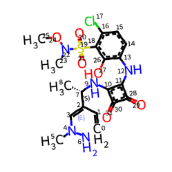 C=C/C(=C\N(C)N)[C@H](C)Nc1c(Nc2ccc(Cl)c(S(=O)(=O)N(C)OC)c2O)c(=O)c1=O